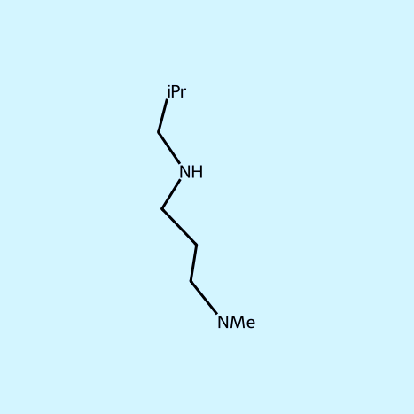 CNCCCNCC(C)C